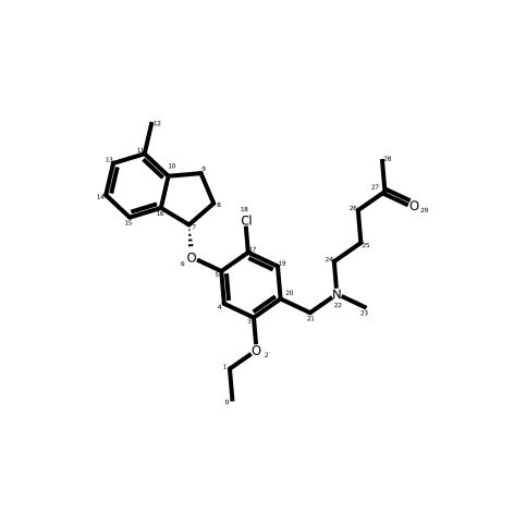 CCOc1cc(O[C@H]2CCc3c(C)cccc32)c(Cl)cc1CN(C)CCCC(C)=O